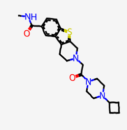 CNC(=O)c1ccc2sc3c(c2c1)CCN(CC(=O)N1CCN(C2CCC2)CC1)C3